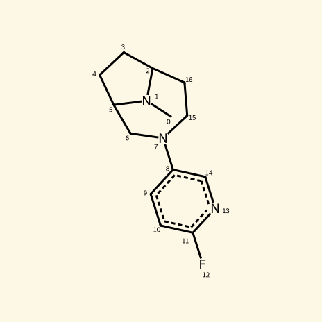 CN1C2CCC1CN(c1ccc(F)nc1)CC2